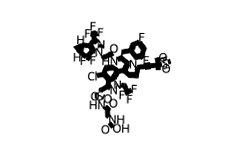 CC(C)(C#Cc1ccc(-c2ccc(Cl)c3c(CS(=O)(=O)NC(=O)CNC(=O)O)nn(CC(F)(F)F)c23)c([C@H](Cc2cc(F)cc(F)c2)NC(=O)Cn2nc(C(F)(F)F)c3c2C(F)(F)[C@@H]2C[C@H]32)n1)S(C)(=O)=O